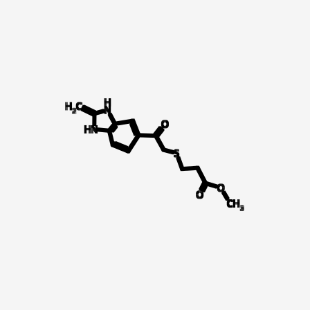 C=C1Nc2ccc(C(=O)CSCCC(=O)OC)cc2N1